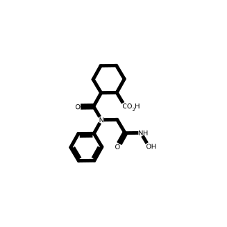 O=C(CN(C(=O)C1CCCCC1C(=O)O)c1ccccc1)NO